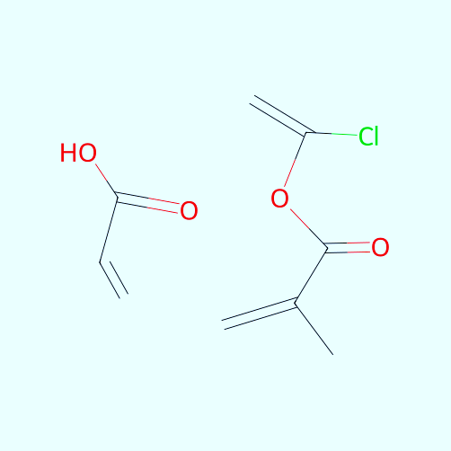 C=C(Cl)OC(=O)C(=C)C.C=CC(=O)O